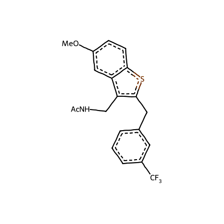 COc1ccc2sc(Cc3cccc(C(F)(F)F)c3)c(CNC(C)=O)c2c1